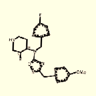 COc1ccc(Cc2noc(N(Cc3ccc(F)cc3)[C@@H]3CCNC[C@@H]3F)n2)cc1